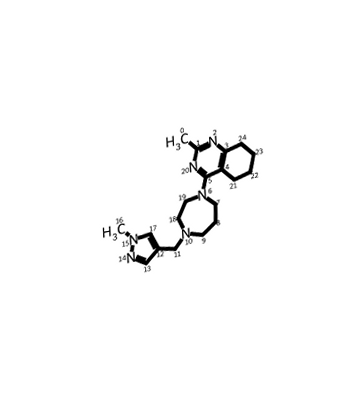 Cc1nc2c(c(N3CCCN(Cc4cnn(C)c4)CC3)n1)CCCC2